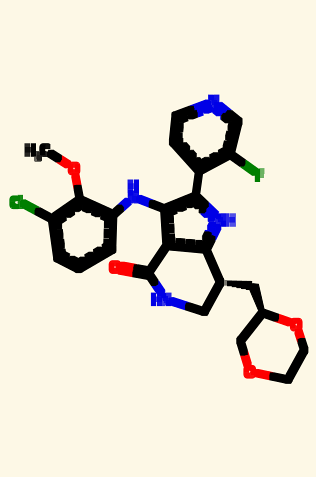 COc1c(Cl)cccc1Nc1c(-c2ccncc2F)[nH]c2c1C(=O)NC[C@H]2C[C@@H]1COCCO1